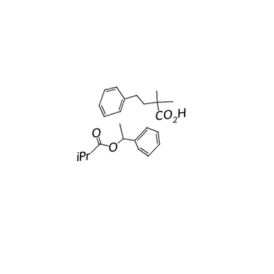 CC(C)(CCc1ccccc1)C(=O)O.CC(C)C(=O)OC(C)c1ccccc1